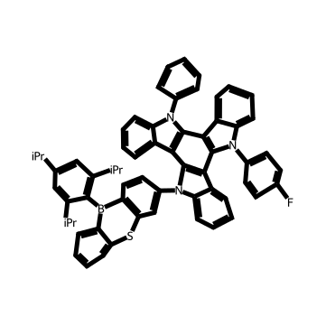 CC(C)c1cc(C(C)C)c(B2c3ccccc3Sc3cc(-n4c5ccccc5c5c6c(c7ccccc7n6-c6ccc(F)cc6)c6c(c7ccccc7n6-c6ccccc6)c54)ccc32)c(C(C)C)c1